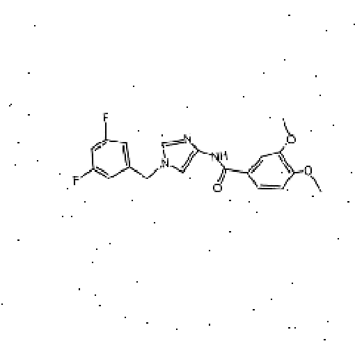 COc1ccc(C(=O)Nc2cn(Cc3cc(F)cc(F)c3)cn2)cc1OC